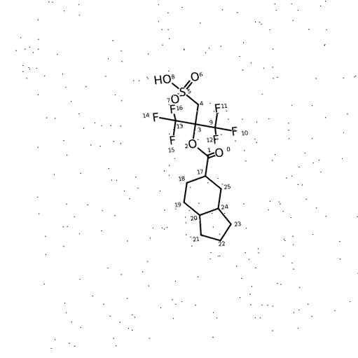 O=C(OC(CS(=O)(=O)O)(C(F)(F)F)C(F)(F)F)C1CCC2CCCC2C1